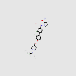 CC(C)(F)CN1CCC(COc2ccc(-c3ccc(C(O)N4CCC[C@H]4C(N)=O)cc3F)c(F)c2)CC1